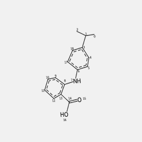 CC(C)c1ccc(Nc2ccccc2C(=O)O)cc1